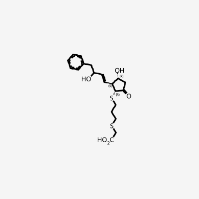 O=C(O)CSCCCS[C@H]1C(=O)C[C@@H](O)[C@@H]1C=CC(O)Cc1ccccc1